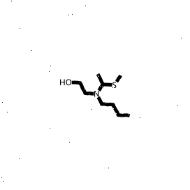 CCCCN(CCO)C(C)SC